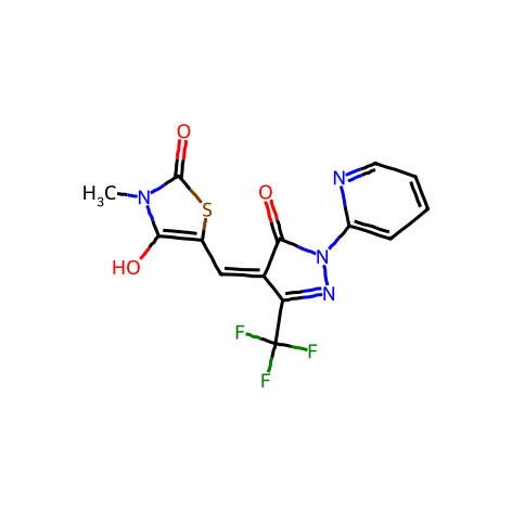 Cn1c(O)c(/C=C2\C(=O)N(c3ccccn3)N=C2C(F)(F)F)sc1=O